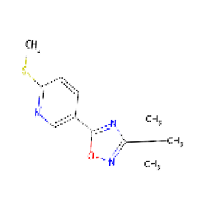 CSc1ccc(-c2nc(C(C)(C)C)no2)cn1